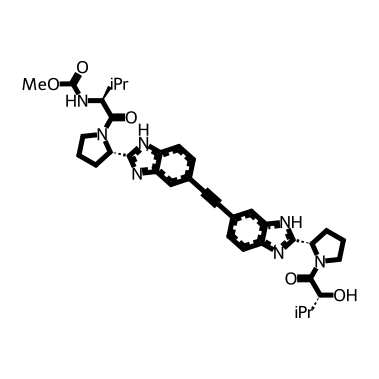 COC(=O)N[C@H](C(=O)N1CCC[C@H]1c1nc2cc(C#Cc3ccc4nc([C@@H]5CCCN5C(=O)[C@H](O)C(C)C)[nH]c4c3)ccc2[nH]1)C(C)C